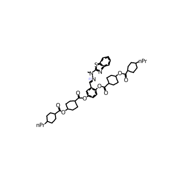 CCCC1CCC(C(=O)OC2CCC(C(=O)Oc3ccc(OC(=O)C4CCC(OC(=O)C5CCC(CCC)CC5)CC4)c(/C=N/N(C)c4nc5ccccc5s4)c3)CC2)CC1